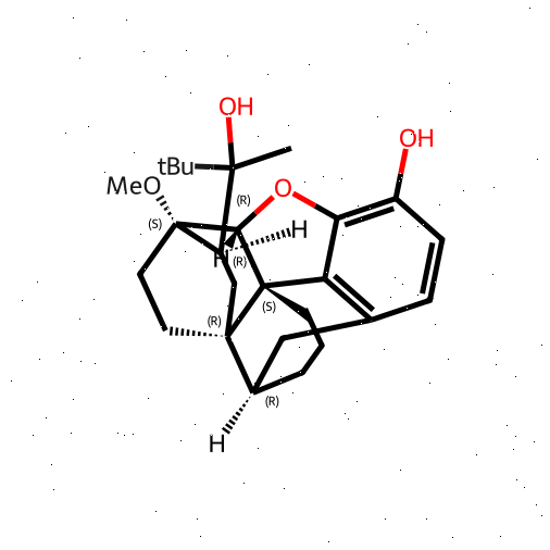 CO[C@@]12CC[C@@]3(C[C@@H]1C(C)(O)C(C)(C)C)[C@@H]1CCC[C@@]34c3c(ccc(O)c3O[C@@H]24)C1